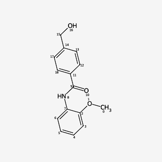 COc1ccccc1NC(=O)c1ccc(CO)cc1